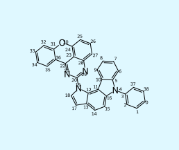 c1ccc(-n2c3ccccc3c3c4c(ccc32)ccn4-c2nc3c4c(cccc4n2)Oc2ccccc2-3)cc1